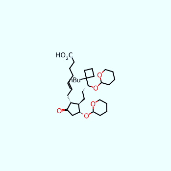 CCCCC1([C@@H](CC[C@H]2[C@H](OC3CCCCO3)CC(=O)[C@@H]2CC=CCCCC(=O)O)OC2CCCCO2)CCC1